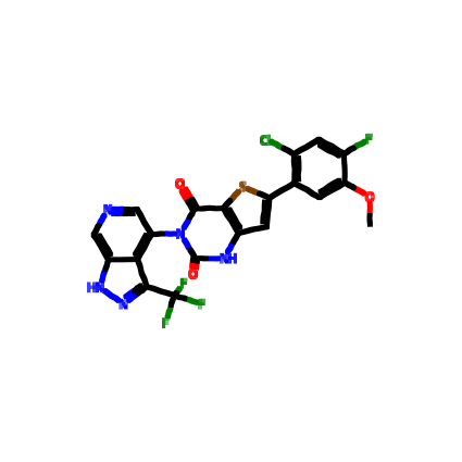 COc1cc(-c2cc3[nH]c(=O)n(-c4cncc5[nH]nc(C(F)(F)F)c45)c(=O)c3s2)c(Cl)cc1F